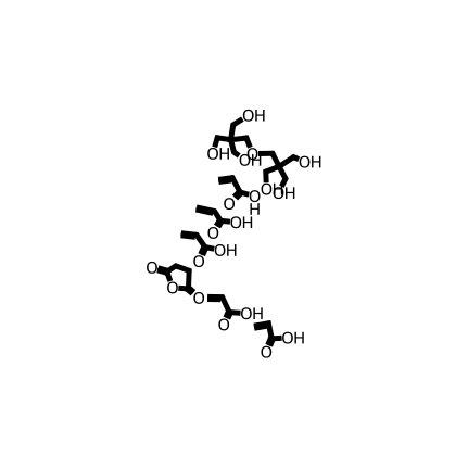 C=CC(=O)O.C=CC(=O)O.C=CC(=O)O.C=CC(=O)O.C=CC(=O)O.O=C1CCC(=O)O1.OCC(CO)(CO)COCC(CO)(CO)CO